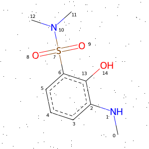 CNc1cccc(S(=O)(=O)N(C)C)c1O